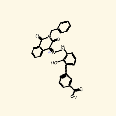 O=C(O)c1cccc(-c2cccc(N/N=C3\C(=O)N(Cc4ccccc4)C(=O)c4ccccc43)c2O)c1